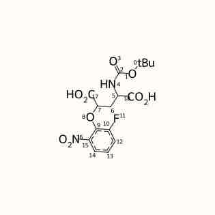 CC(C)(C)OC(=O)NC(CC(Oc1c(F)cccc1[N+](=O)[O-])C(=O)O)C(=O)O